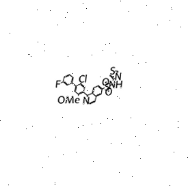 COc1cc(-c2cccc(F)c2)c(Cl)cc1-c1nccc2cc(S(=O)(=O)Nc3cscn3)ccc12